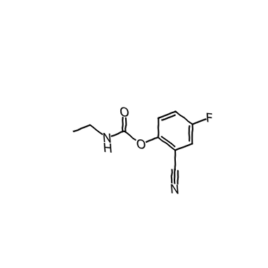 CCNC(=O)Oc1ccc(F)cc1C#N